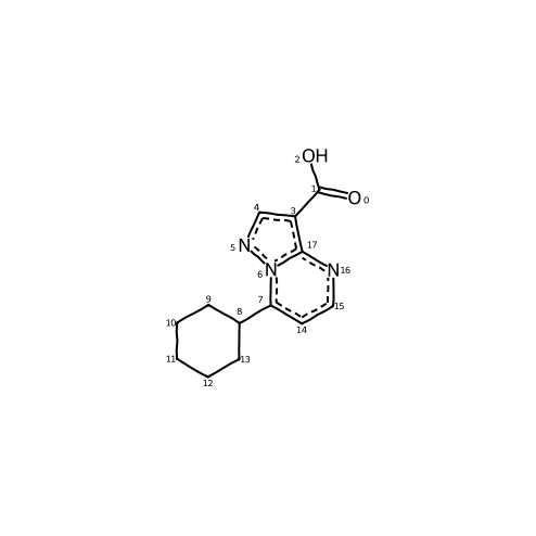 O=C(O)c1cnn2c(C3CCCCC3)ccnc12